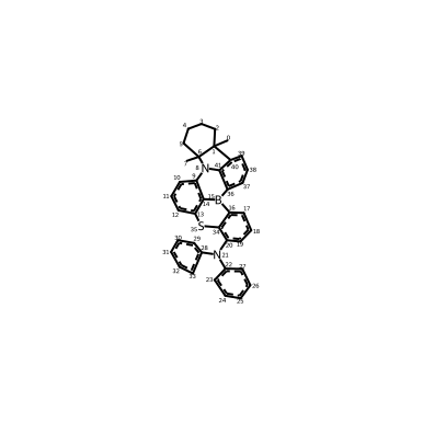 CC12CCCCC1(C)N1c3cccc4c3B(c3cccc(N(c5ccccc5)c5ccccc5)c3S4)c3cccc2c31